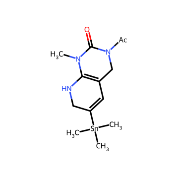 CC(=O)N1CC2=C(NC[C]([Sn]([CH3])([CH3])[CH3])=C2)N(C)C1=O